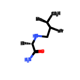 CCCC(CN[C@@H](CC)C(N)=O)[C@@H](CC)C(=O)O